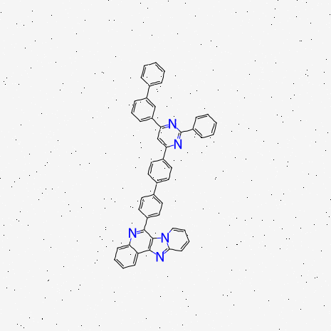 c1ccc(-c2cccc(-c3cc(-c4ccc(-c5ccc(-c6nc7ccccc7c7nc8ccccn8c67)cc5)cc4)nc(-c4ccccc4)n3)c2)cc1